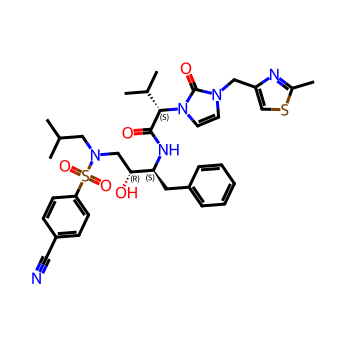 Cc1nc(Cn2ccn([C@H](C(=O)N[C@@H](Cc3ccccc3)[C@H](O)CN(CC(C)C)S(=O)(=O)c3ccc(C#N)cc3)C(C)C)c2=O)cs1